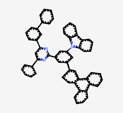 c1ccc(-c2cccc(-c3cc(-c4ccccc4)nc(-c4cc(-c5ccc6c7ccccc7c7ccccc7c6c5)cc(-n5c6ccccc6c6ccccc65)c4)n3)c2)cc1